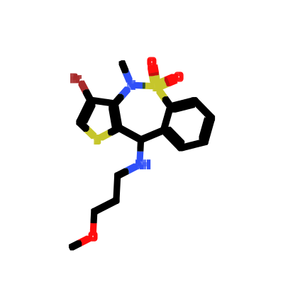 COCCCNC1c2ccccc2S(=O)(=O)N(C)c2c(Br)csc21